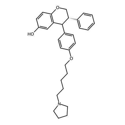 Oc1ccc2c(c1)C(c1ccc(OCCCCCN3CCCC3)cc1)[C@@H](c1ccccc1)CO2